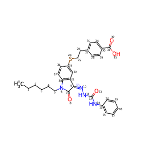 CCCCCCN1C(=O)/C(=N\NC(=O)Nc2ccccc2)c2cc(SCCc3ccc(C(=O)O)cc3)ccc21